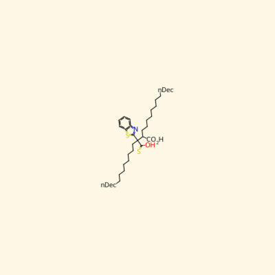 CCCCCCCCCCCCCCCCCCC(C(=O)O)C(CCCCCCCCCCCCCCCCCC)(C(O)=S)c1nc2ccccc2s1